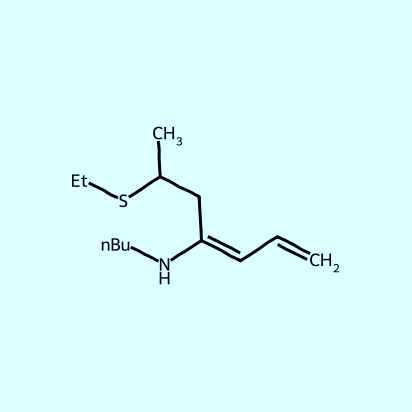 C=C/C=C(\CC(C)SCC)NCCCC